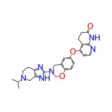 CC(C)N1CCc2nc(N3COc4ccc(Oc5ccnc6c5CCC(=O)N6)cc4C3)[nH]c2C1